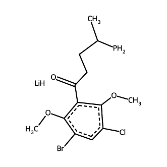 COc1c(Cl)cc(Br)c(OC)c1C(=O)CCC(C)P.[LiH]